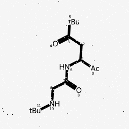 CC(=O)C(CC(=O)C(C)(C)C)NC(=O)CNC(C)(C)C